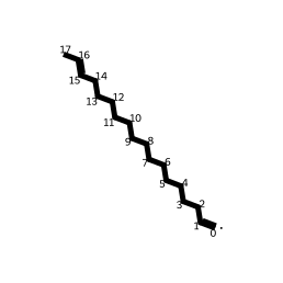 [CH]=CCCCCCCCCCCCCCC=CC